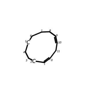 [C]1=CCCCCCCCC=CC1